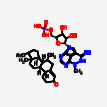 CC(=O)O[C@H]1CC[C@H]2[C@H]3[C@H](CC[C@]12C)[C@H]1CCC(=O)C=C1C[C@H]3C.CN1NC(=N)c2cn([C@@H]3O[C@H](COP(=O)(O)O)[C@@H](O)[C@H]3O)c3ncnc1c23